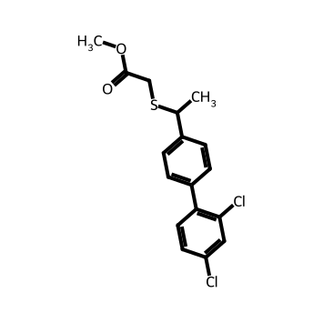 COC(=O)CSC(C)c1ccc(-c2ccc(Cl)cc2Cl)cc1